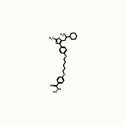 Cc1nc(-c2ccc(OCCCCCOc3ccc(C(=N)NO)cc3)cc2)c(CC(N)C2CCCCC2)s1